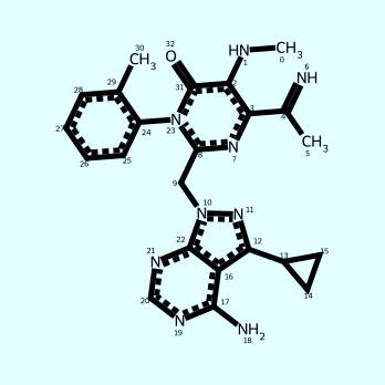 CNc1c(C(C)=N)nc(Cn2nc(C3CC3)c3c(N)ncnc32)n(-c2ccccc2C)c1=O